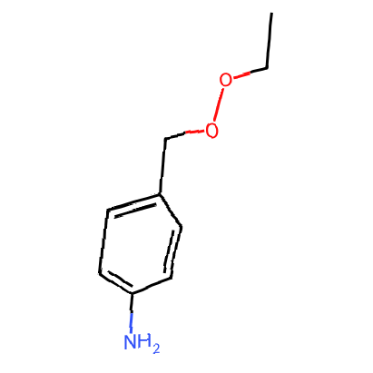 CCOOCc1ccc(N)cc1